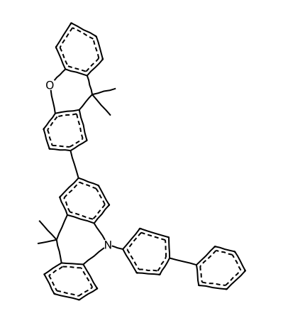 CC1(C)c2ccccc2Oc2ccc(-c3ccc4c(c3)C(C)(C)c3ccccc3N4c3ccc(-c4ccccc4)cc3)cc21